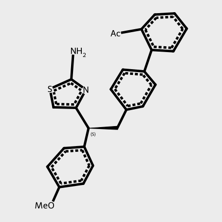 COc1ccc([C@H](Cc2ccc(-c3ccccc3C(C)=O)cc2)c2csc(N)n2)cc1